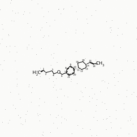 C=CCCCOCc1ccc([C@H]2CC[C@H](C=CC)CC2)cc1